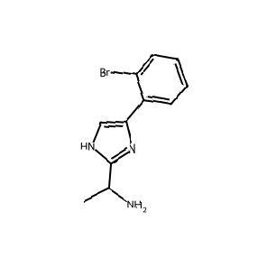 CC(N)c1nc(-c2ccccc2Br)c[nH]1